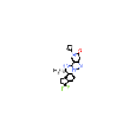 C[C@H](Nc1ncnc2cc(=O)n(C34CC(C3)C4)cc12)c1cccc2c1CCC2(F)F